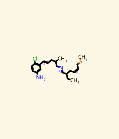 CCC(/C=N/CC(C)C/C=C/c1cc(N)ccc1Cl)C/C=C\CSC